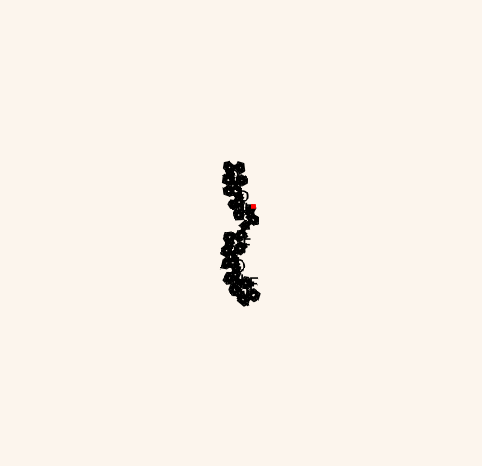 Fc1ccc(N(c2cc3oc4cc(N(c5ccc(F)cc5)c5cccc6c5oc5c(C7CCCC(C8CCC(c9cccc%10c9oc9c(N(c%11ccccc%11)c%11cc%12oc%13cc(N(c%14ccccc%14)c%14cccc%15c%14oc%14c(C%16CCCC%16)cccc%14%15)c%14ccccc%14c%13c%12c%12ccccc%11%12)cccc9%10)C8)C7)cccc56)c5ccccc5c4c3c3ccccc23)c2cccc3c2oc2c(C4CCCCC4)cccc23)cc1